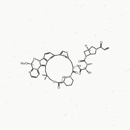 C=CC(=O)N1CC2[C@@H](C1)CN2C(=O)N(C)[C@H](C(=O)N[C@H]1Cc2nc(cs2)-c2ccc3c(c2)c(c(-c2cccnc2[C@H](C)OC)n3CC)CC(C)(C)COC(=O)[C@@H]2CCCN(N2)C1=O)C(C)C